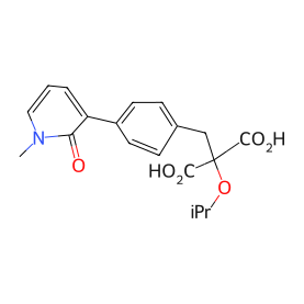 CC(C)OC(Cc1ccc(-c2cccn(C)c2=O)cc1)(C(=O)O)C(=O)O